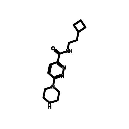 O=C(NCCC1CCC1)c1ccc(N2CCNCC2)nn1